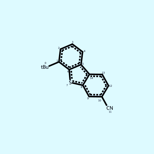 CC(C)(C)c1cccc2c1sc1cc(C#N)ccc12